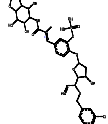 C/C(=C\c1ccc(OC2CC(O)C(C(C=N)OCc3cccc(Cl)c3)O2)c(OP(=O)(O)O)c1)C(=O)NC1C(O)C(O)C2OCOC2C1O